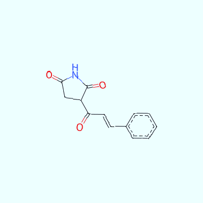 O=C1CC(C(=O)C=Cc2ccccc2)C(=O)N1